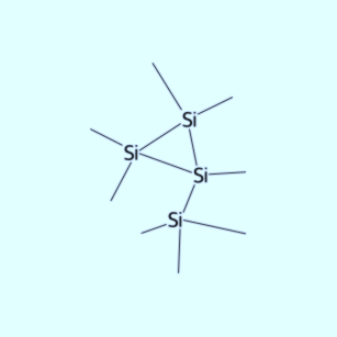 C[Si](C)(C)[Si]1(C)[Si](C)(C)[Si]1(C)C